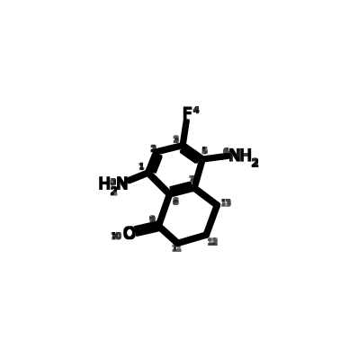 Nc1cc(F)c(N)c2c1C(=O)CCC2